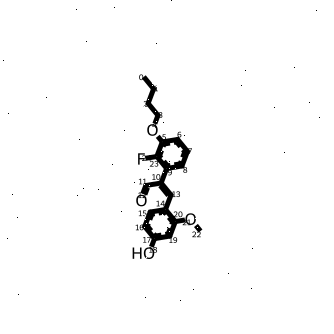 CCCCOc1cccc(/C(C=O)=C/c2ccc(O)cc2OC)c1F